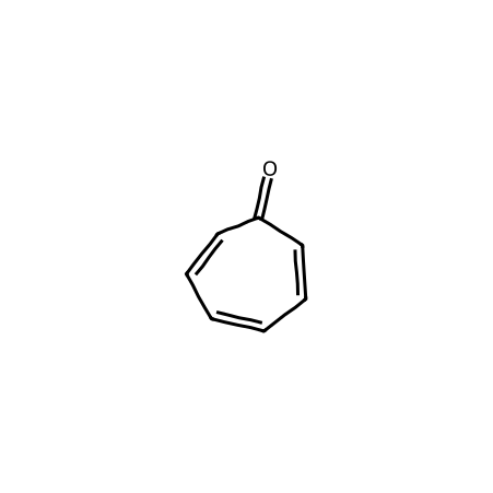 O=c1cccccc1